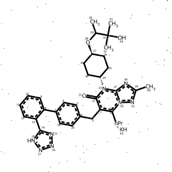 CCCc1c(Cc2ccc(-c3ccccc3-c3nnn[nH]3)cc2)c(=O)n([C@H]2CC[C@H](OC(C)C(C)(C)O)CC2)c2nc(C)nn12.[KH]